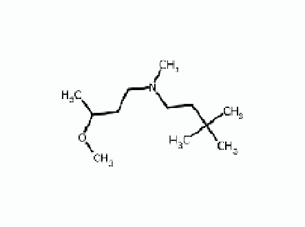 COC(C)CCN(C)CCC(C)(C)C